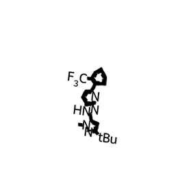 Cn1nc(C(C)(C)C)cc1-c1nc2nc(-c3ccccc3C(F)(F)F)ccc2[nH]1